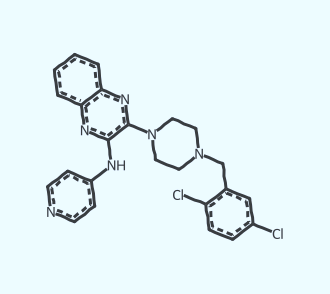 Clc1ccc(Cl)c(CN2CCN(c3nc4ccccc4nc3Nc3ccncc3)CC2)c1